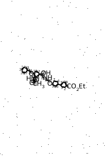 CCOC(=O)c1ccc(-c2ccc(OCCNC[C@H](O)c3ccc(OCc4ccccc4)c(NS(C)(=O)=O)c3)cc2)cc1